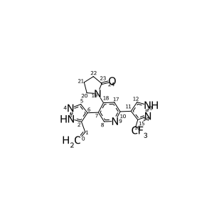 C=Cc1[nH]ncc1-c1cnc(-c2c[nH]nc2C(F)(F)F)cc1N1CCCC1=O